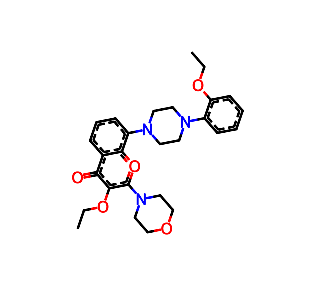 CCOc1ccccc1N1CCN(c2cccc3c(=O)c(OCC)c(N4CCOCC4)oc23)CC1